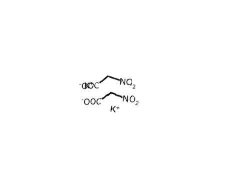 O=C([O-])C[N+](=O)[O-].O=C([O-])C[N+](=O)[O-].[K+].[K+]